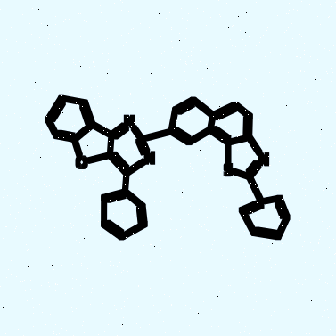 c1ccc(-c2nc3ccc4ccc(-c5nc(-c6ccccc6)c6oc7ccccc7c6n5)cc4c3s2)cc1